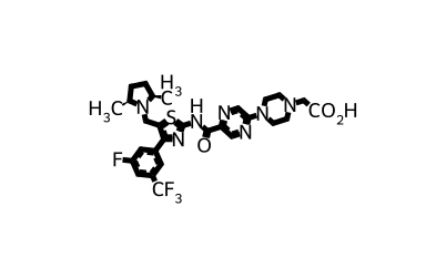 C[C@@H]1CC[C@@H](C)N1Cc1sc(NC(=O)c2cnc(N3CCN(CC(=O)O)CC3)cn2)nc1-c1cc(F)cc(C(F)(F)F)c1